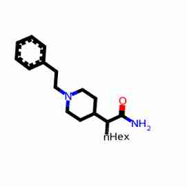 CCCCCCC(C(N)=O)C1CCN(CCc2ccccc2)CC1